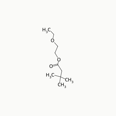 CCOCCOC(=O)CC(C)(C)C